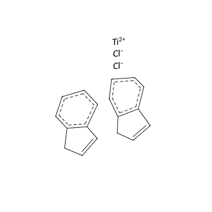 C1=Cc2ccccc2C1.C1=Cc2ccccc2C1.[Cl-].[Cl-].[Ti+2]